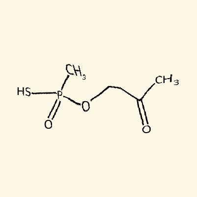 CC(=O)COP(C)(=O)S